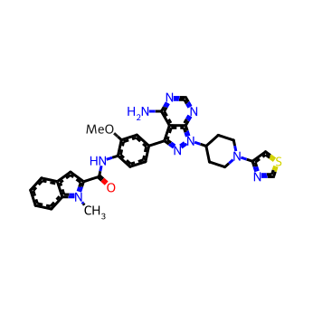 COc1cc(-c2nn(C3CCN(c4cscn4)CC3)c3ncnc(N)c23)ccc1NC(=O)c1cc2ccccc2n1C